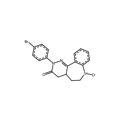 O=C1CC2CC[S+]([O-])c3ccccc3C2=NN1c1ccc(Br)cc1